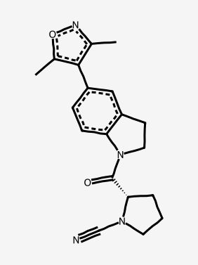 Cc1noc(C)c1-c1ccc2c(c1)CCN2C(=O)[C@@H]1CCCN1C#N